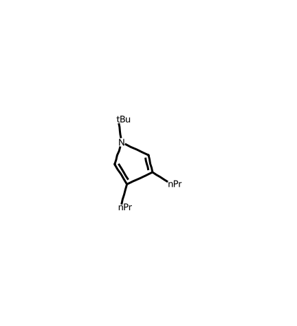 CCCc1cn(C(C)(C)C)cc1CCC